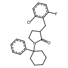 O=C1C(Cc2c(F)cccc2Cl)CCN1C1(c2ccccc2)CCCCC1